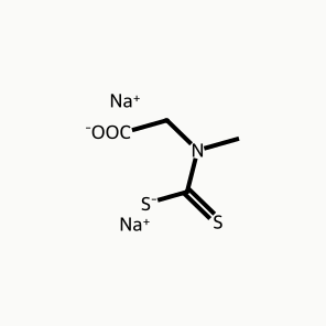 CN(CC(=O)[O-])C(=S)[S-].[Na+].[Na+]